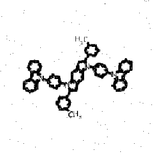 Cc1cccc(-c2cc3cc4c(cc(-c5cccc(C)c5)n4-c4ccc(-n5c6ccccc6c6ccccc65)cc4)cc3n2-c2ccc(-n3c4ccccc4c4ccccc43)cc2)c1